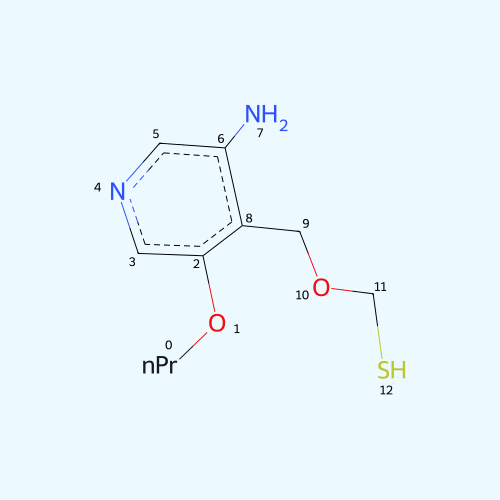 CCCOc1cncc(N)c1COCS